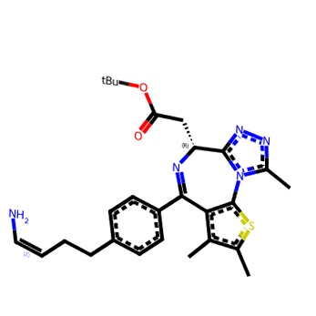 Cc1sc2c(c1C)C(c1ccc(CC/C=C\N)cc1)=N[C@H](CC(=O)OC(C)(C)C)c1nnc(C)n1-2